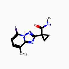 CCCNC(=O)C1(c2nc3c(OC)ccc(I)n3n2)CC1